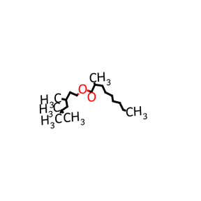 CCCCCCCC(C)C(=O)OCCC(C)CC(C)(C)C